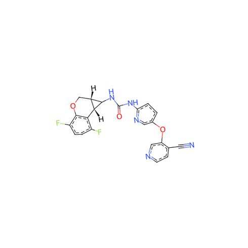 N#Cc1ccncc1Oc1ccc(NC(=O)NC2[C@H]3COc4c(F)ccc(F)c4[C@@H]23)nc1